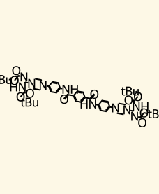 CC(C)(C)OC(=O)N=C(NC(=O)OC(C)(C)C)N1CCN(c2ccc(NC(=O)c3ccc(C(=O)Nc4ccc(N5CCN(C(=NC(=O)OC(C)(C)C)NC(=O)OC(C)(C)C)CC5)cc4)cc3)cc2)CC1